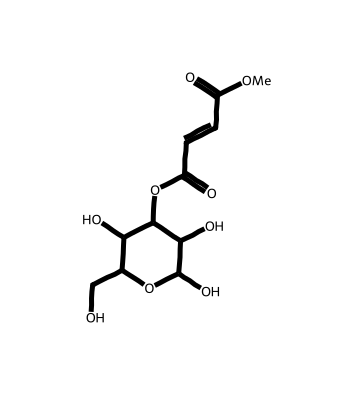 COC(=O)/C=C/C(=O)OC1C(O)C(O)OC(CO)C1O